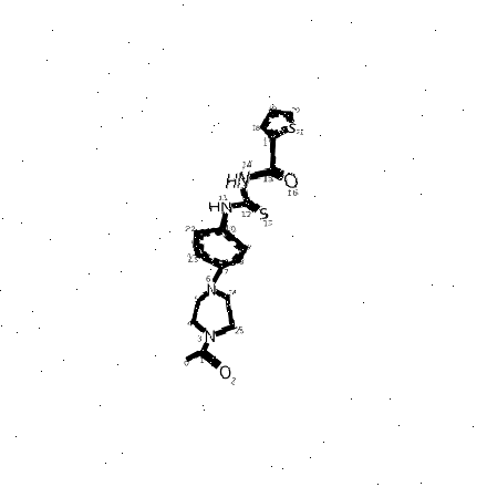 CC(=O)N1CCN(c2ccc(NC(=S)NC(=O)c3cccs3)cc2)CC1